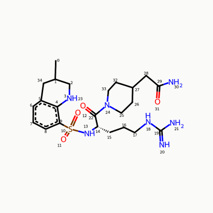 CC1CNc2c(cccc2S(=O)(=O)N[C@@H](CCCNC(=N)N)C(=O)N2CCC(CC(N)=O)CC2)C1